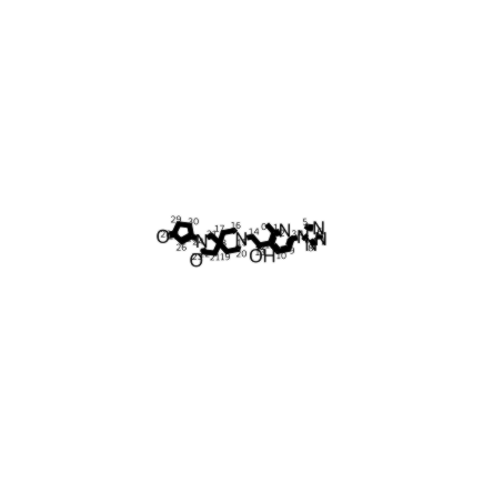 Cc1nc(-n2cnnn2)ccc1C(O)CN1CCC2(CC1)CC(=O)N(C1=CC(=O)CC1)C2